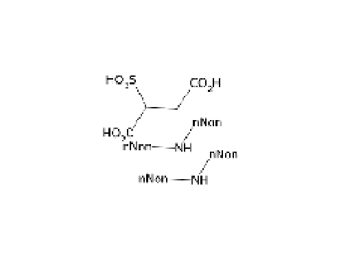 CCCCCCCCCNCCCCCCCCC.CCCCCCCCCNCCCCCCCCC.O=C(O)CC(C(=O)O)S(=O)(=O)O